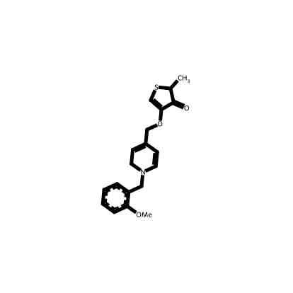 COc1ccccc1CN1C=CC(COC2=CSC(C)C2=O)=CC1